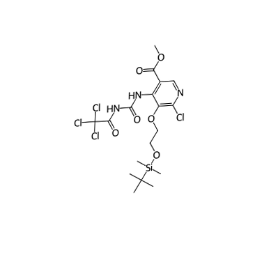 COC(=O)c1cnc(Cl)c(OCCO[Si](C)(C)C(C)(C)C)c1NC(=O)NC(=O)C(Cl)(Cl)Cl